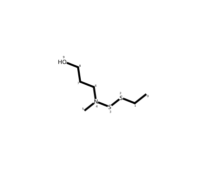 CCSSN(C)CCCO